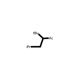 CC(=O)C(CC(C)C)C(C)(C)C